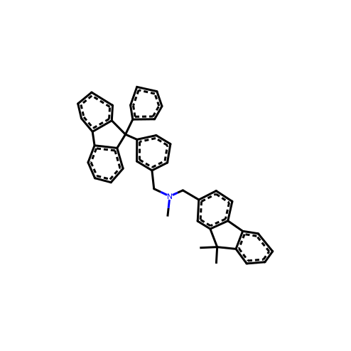 CN(Cc1cccc(C2(c3ccccc3)c3ccccc3-c3ccccc32)c1)Cc1ccc2c(c1)C(C)(C)c1ccccc1-2